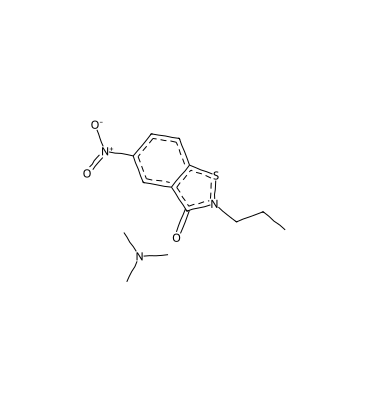 CCCn1sc2ccc([N+](=O)[O-])cc2c1=O.CN(C)C